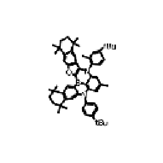 Cc1cc2c3c(c1)N(c1ccc(C(C)(C)C)cc1C)c1c(oc4cc5c(cc14)C(C)(C)CCC5(C)C)B3c1cc3c(cc1N2c1ccc(C(C)(C)C)cc1)C(C)(C)CCC3(C)C